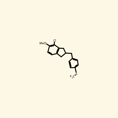 COc1ccc2c(c1Cl)CC(Cc1ccc(SC(F)(F)F)cc1)C2